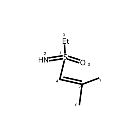 CCS(=N)(=O)C=C(C)C